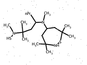 CCCC(CC(C)(C)N(C)S)N(C)C1CC(C)(C)NSC(C)(C)C1